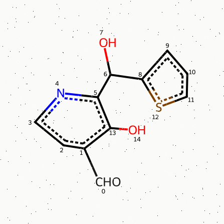 O=Cc1ccnc(C(O)c2cccs2)c1O